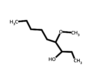 CCCCCC(OC)C(O)CC